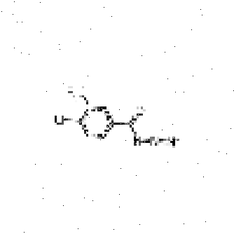 [N-]=[N+]=NC(=O)c1ccc(Cl)c(C(F)(F)F)c1